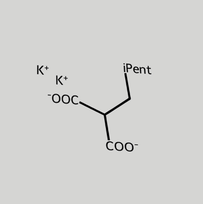 CCCC(C)CC(C(=O)[O-])C(=O)[O-].[K+].[K+]